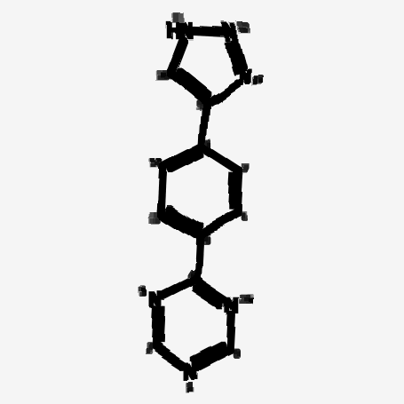 c1ncnc(-c2ccc(-c3c[nH]nn3)cc2)n1